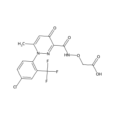 Cc1cc(=O)c(C(=O)NOCC(=O)O)nn1-c1ccc(Cl)cc1C(F)(F)F